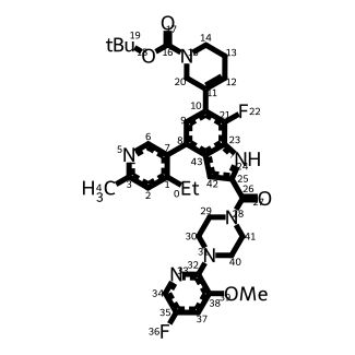 CCc1cc(C)ncc1-c1cc(C2=CCCN(C(=O)OC(C)(C)C)C2)c(F)c2[nH]c(C(=O)N3CCN(c4ncc(F)cc4OC)CC3)cc12